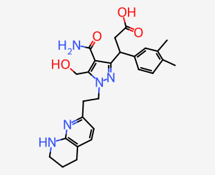 Cc1ccc(C(CC(=O)O)c2nn(CCc3ccc4c(n3)NCCC4)c(CO)c2C(N)=O)cc1C